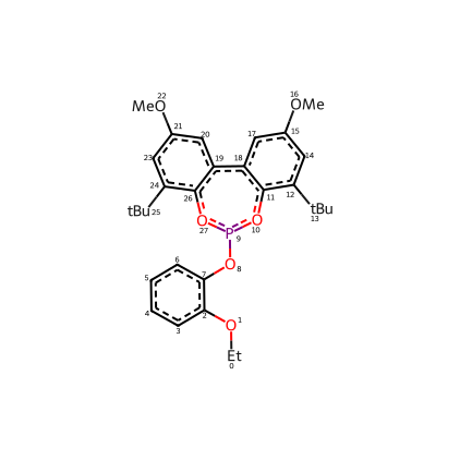 CCOc1ccccc1Op1oc2c(C(C)(C)C)cc(OC)cc2c2cc(OC)cc(C(C)(C)C)c2o1